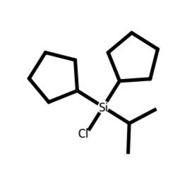 CC(C)[Si](Cl)(C1CCCC1)C1CCCC1